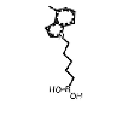 Cc1cccc2c1ccn2CCCCCB(O)O